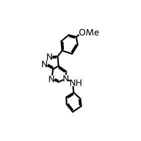 COc1ccc(-c2nnc3ncn(Nc4ccccc4)cc2-3)cc1